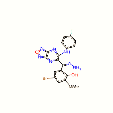 COc1cc(Br)cc(C(=NN)c2nc3nonc3nc2Nc2ccc(F)cc2)c1O